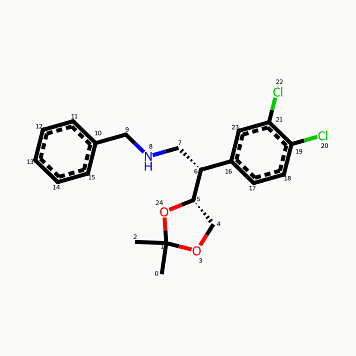 CC1(C)OC[C@@H]([C@H](CNCc2ccccc2)c2ccc(Cl)c(Cl)c2)O1